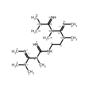 C/N=C(\N(C)C)N(C)C(=N)NCCN(C)/C(=N\C)N(C)C(=N)N(C)C